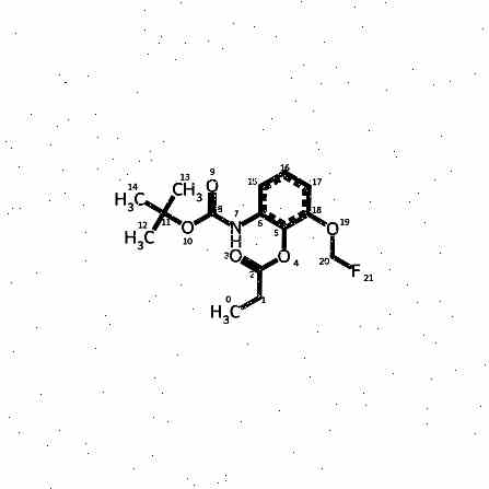 CCC(=O)Oc1c(NC(=O)OC(C)(C)C)cccc1OCF